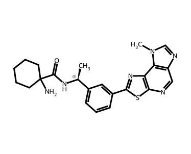 C[C@H](NC(=O)C1(N)CCCCC1)c1cccc(-c2nc3c(ncc4ncn(C)c43)s2)c1